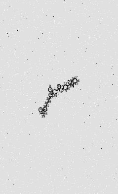 COc1cc(C(=O)Oc2ccc(-c3nc4ccccc4o3)cc2)ccc1OCCCCCCOC(=O)C(C)(C)C